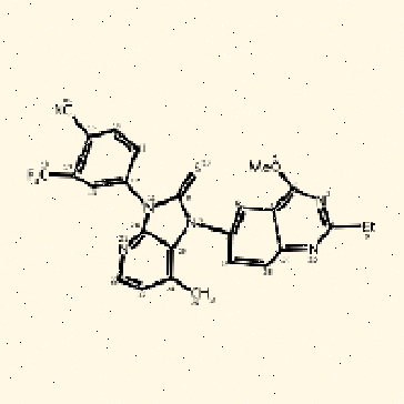 CCc1nc(OC)c2cc(-n3c(=S)n(-c4ccc(C#N)c(C(F)(F)F)c4)c4nccc(C)c43)ccc2n1